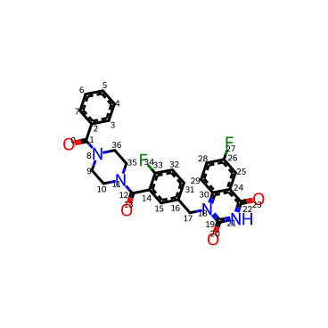 O=C(c1ccccc1)N1CCN(C(=O)c2cc(Cn3c(=O)[nH]c(=O)c4cc(F)ccc43)ccc2F)CC1